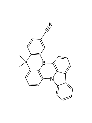 CC1(C)c2ccc(C#N)cc2B2c3c(cccc31)-n1c3ccccc3c3cccc2c31